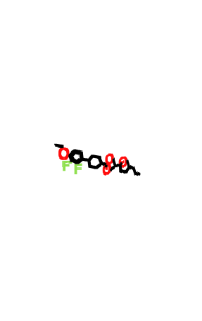 CCCC1CCC(C2COC(C3CCC(c4ccc(OCC)c(F)c4F)CC3)OC2)OC1